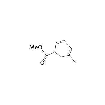 COC(=O)C1C=CC=C(C)C1